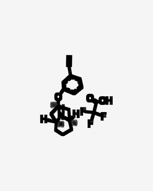 C#Cc1cccc(O[C@@H]2C[C@H]3CCC[C@@H](C2)N3)c1.O=C(O)C(F)(F)F